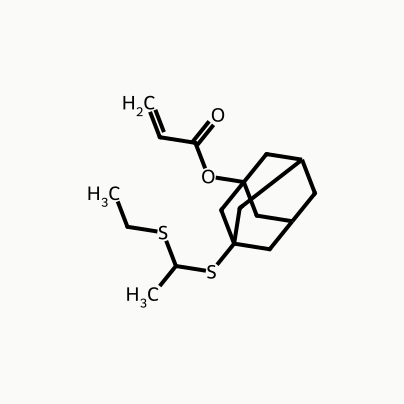 C=CC(=O)OC12CC3CC(C1)CC(SC(C)SCC)(C3)C2